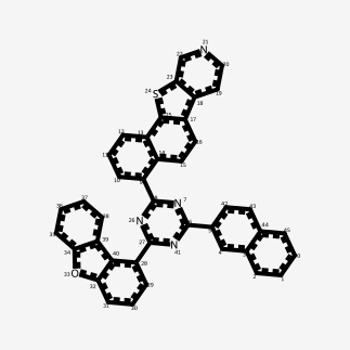 c1ccc2cc(-c3nc(-c4cccc5c4ccc4c6ccncc6sc54)nc(-c4cccc5oc6ccccc6c45)n3)ccc2c1